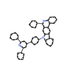 c1ccc(-c2cc(-c3ccc(-n4c5ccccc5c5cc6c(cc54)c(-c4ccccc4)nc4ccccc46)cc3)cc(-c3ccccc3)n2)cc1